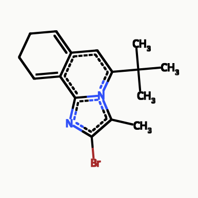 Cc1c(Br)nc2c3c(cc(C(C)(C)C)n12)=CCCC=3